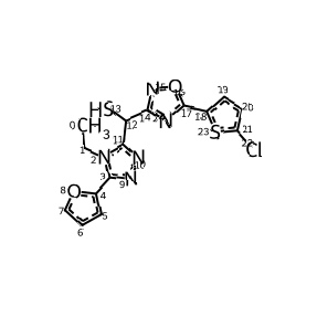 CCn1c(-c2ccco2)nnc1C(S)c1noc(-c2ccc(Cl)s2)n1